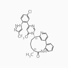 C[C@@H]1CCC[C@H](n2cnc(-c3cc(Cl)ccc3-n3cc(C(F)(F)F)nn3)cc2=O)c2cc(ccn2)-c2ccccc2NC1=O